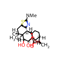 C=C1C(=O)[C@]23[C@H](O)[C@H]1CC[C@H]2[C@@]12CO[C@@]3(O)[C@@H](O)[C@@H]1C(C)(C)Cc1sc(NC)nc12